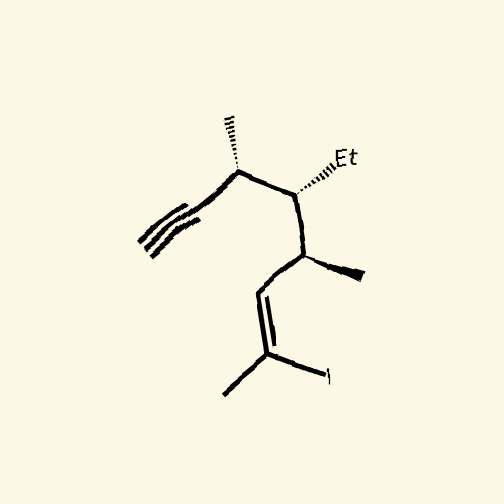 C#C[C@H](C)[C@H](CC)[C@@H](C)/C=C(/C)I